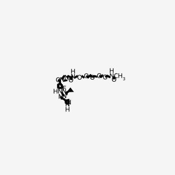 CC(=O)NCCOCCOCCOCCOCCOCCNC(=O)CN1CCN(C(=O)c2ccc(Nc3nc(C4CC4)cn4c(-c5cn[nH]c5)cnc34)c(F)c2)CC1